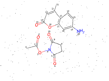 CC(=O)ON1C(=O)CCC1=O.Cc1cc(=O)oc2cc(N)ccc12